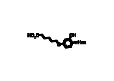 CCCCCCc1ccc(OCCCCCC(=O)O)cc1O